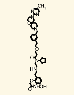 Cc1cnc(N2CCOC3(CCN(Cc4cccc(CCOCCC(=O)N(CCNCCc5ccc(O)c6c5OCC(=O)N6)C5CCCC5)c4)CC3)C2)nc1